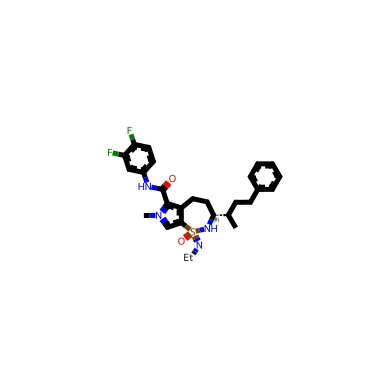 CCN=S1(=O)N[C@@H](C(C)CCc2ccccc2)CCc2c1cn(C)c2C(=O)Nc1ccc(F)c(F)c1